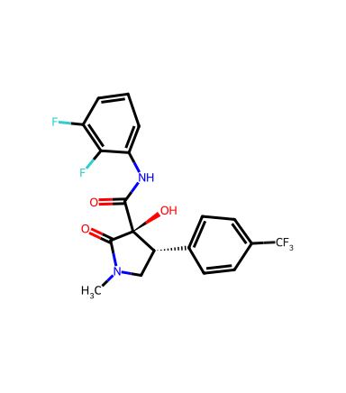 CN1C[C@@H](c2ccc(C(F)(F)F)cc2)[C@@](O)(C(=O)Nc2cccc(F)c2F)C1=O